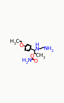 CCOc1ccc([C@@H](NCCN)C(C)OC(N)=O)cc1